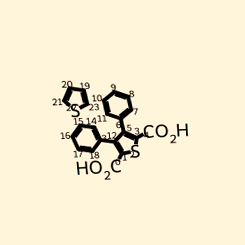 O=C(O)c1sc(C(=O)O)c(-c2ccccc2)c1-c1ccccc1.c1ccsc1